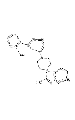 O=C(O)C1(c2ccncc2)CCN(c2cnnc(-c3ccccc3O)c2)CC1